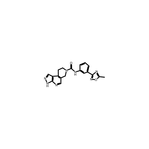 Cc1nc(-c2cccc(NC(=O)N3CCc4c(cnc5[nH]ncc45)C3)c2)no1